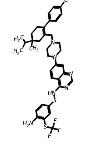 CC(C)C1(C)CCC(c2ccc(Cl)cc2)=C(CN2CCN(c3ccc4c(NSc5ccc(N)c(SC(F)(F)F)c5)ncnc4c3)CC2)C1